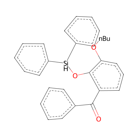 CCCCOc1cccc(C(=O)c2ccccc2)c1O[SiH](c1ccccc1)c1ccccc1